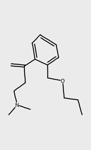 C=C(CCN(C)C)c1ccccc1COCCC